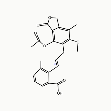 COc1c(C)c2c(c(OC(C)=O)c1C/C=C/c1c(C)cccc1C(=O)O)C(=O)OC2